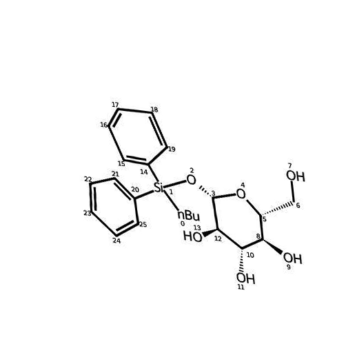 CCCC[Si](O[C@@H]1O[C@H](CO)[C@@H](O)[C@H](O)[C@H]1O)(c1ccccc1)c1ccccc1